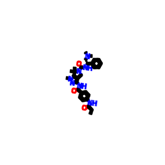 CCC(=O)Nc1ccc(C(=O)Nc2nn(C)c3c2CN(C(=O)N[C@H](CN(C)C)c2ccccc2)C3(C)C)cc1